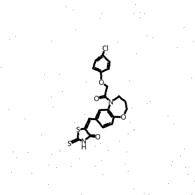 O=C1NC(=S)SC1=Cc1ccc2c(c1)N(C(=O)COc1ccc(Cl)cc1)CCCO2